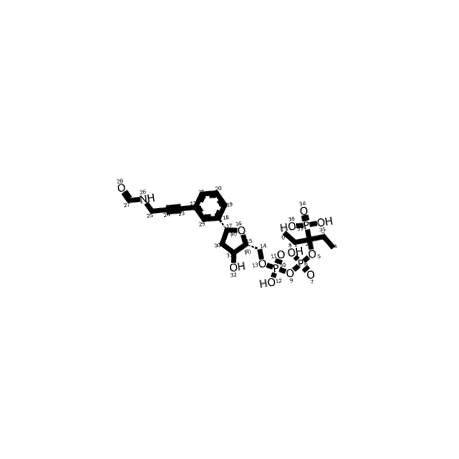 CCC(CC)(OP(=O)(O)OP(=O)(O)OC[C@H]1O[C@@H](c2cccc(C#CCNC=O)c2)CC1O)P(=O)(O)O